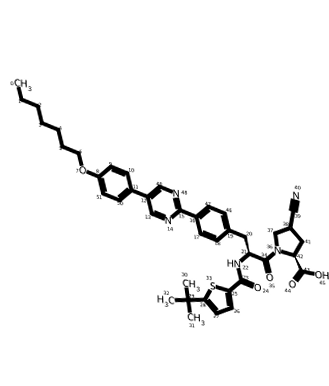 CCCCCCCOc1ccc(-c2cnc(-c3ccc(C[C@H](NC(=O)c4ccc(C(C)(C)C)s4)C(=O)N4CC(C#N)C[C@H]4C(=O)O)cc3)nc2)cc1